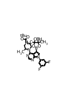 CC1CN(C(=O)OC(C)(C)C)CCN1c1ncnc2c1c(B1OC(C)(C)C(C)(C)O1)cn2-c1cc(F)cc(F)c1